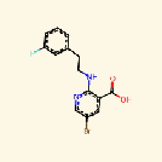 O=C(O)c1cc(Br)cnc1NCCc1cccc(F)c1